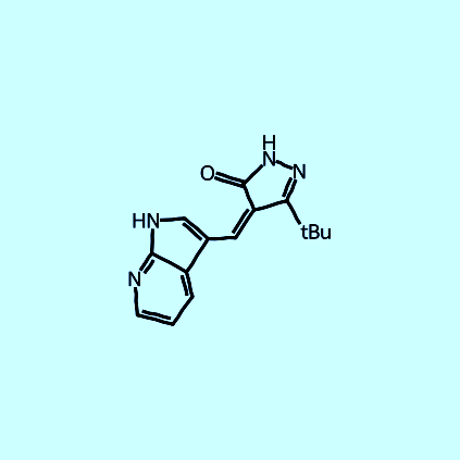 CC(C)(C)C1=NNC(=O)C1=Cc1c[nH]c2ncccc12